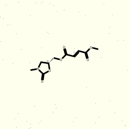 COC(=O)/C=C/C(=O)OC[C@H]1CN(C)C(=O)O1